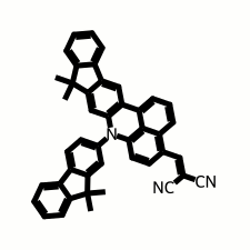 CC1(C)c2ccccc2-c2ccc(N3c4cc5c(cc4-c4cccc6c(C=C(C#N)C#N)ccc3c46)-c3ccccc3C5(C)C)cc21